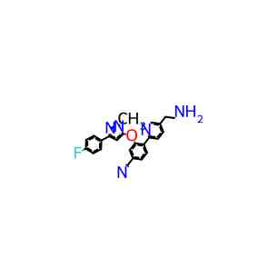 Cn1nc(-c2ccc(F)cc2)cc1Oc1cc(C#N)ccc1-c1ccc(CCN)cn1